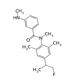 CNc1cccc(C(=O)N(C)c2c(C)cc(C(C)CF)cc2C)c1